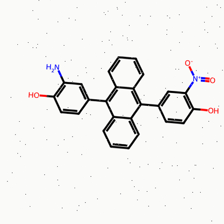 Nc1cc(-c2c3ccccc3c(-c3ccc(O)c([N+](=O)[O-])c3)c3ccccc23)ccc1O